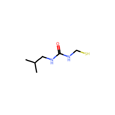 CC(C)CNC(=O)NCS